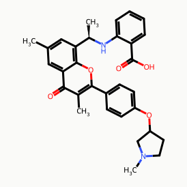 Cc1cc([C@@H](C)Nc2ccccc2C(=O)O)c2oc(-c3ccc(OC4CCN(C)C4)cc3)c(C)c(=O)c2c1